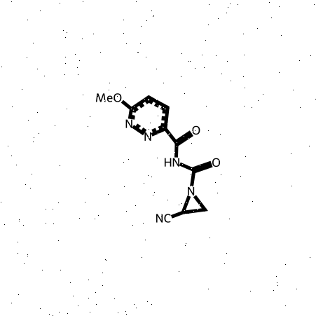 COc1ccc(C(=O)NC(=O)N2CC2C#N)nn1